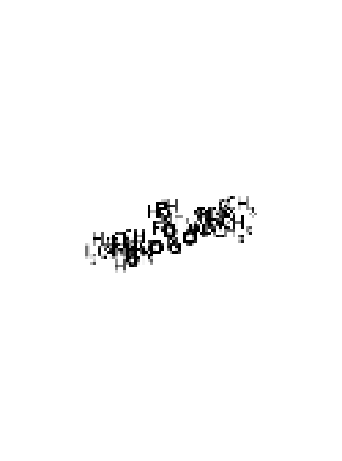 COC(=O)N[C@H](C(=O)N1CCC[C@H]1c1nc2cc([C@H]3CC[C@H](c4ccc5[nH]c([C@@H]6CCCN6C(=O)[C@@H](NC(=O)OC)C(C)C)nc5c4)N3c3cc(F)c(N4C[C@H]5CC[C@H]5C4)c(F)c3)ccc2[nH]1)C(C)C